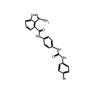 Nc1noc2cccc(C(=O)Nc3ccc(NC(=O)Nc4ccc(Br)cc4)cc3)c12